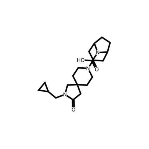 O=C1CC2(CCN(C3CC4CCC(C3)N4C(=O)O)CC2)CN1CC1CC1